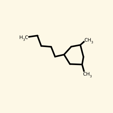 C[CH]CCCC1CC(C)CC(C)C1